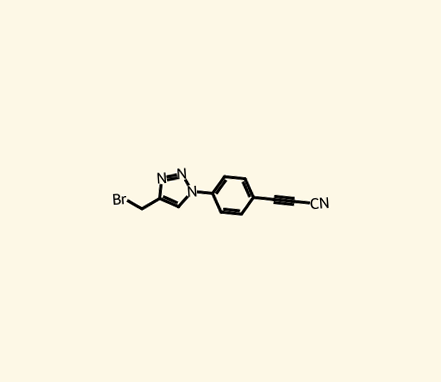 N#CC#Cc1ccc(-n2cc(CBr)nn2)cc1